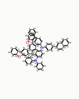 c1ccc(-c2ccc(N(c3ccc(-c4ccc5ccccc5c4)cc3)c3ccc4c(c3)[Si](c3ccc5c(c3)oc3ccccc35)(c3ccc5c(c3)oc3ccccc35)c3ccccc3N4c3ccccc3)cc2)cc1